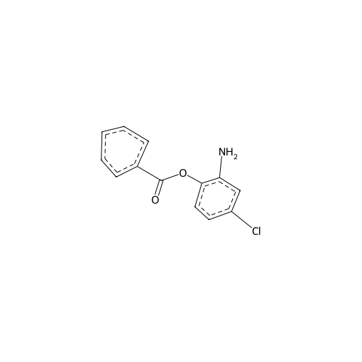 Nc1cc(Cl)ccc1OC(=O)c1ccccc1